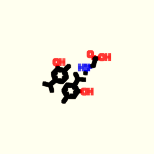 CNCC(=O)O.Cc1ccc(C(C)C)c(O)c1.Cc1ccc(C(C)C)cc1O